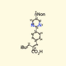 CCCCCCCCCc1cnc(-c2ccc(C=C(C[C@H](C)CC)C(=O)O)cc2)nc1